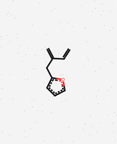 C=CC(=C)Cc1ccco1